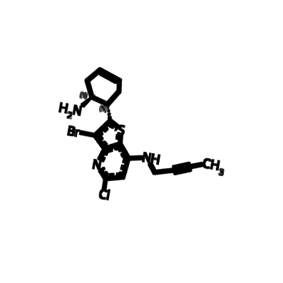 CC#CCNc1cc(Cl)nc2c(Br)c([C@H]3CC=CC[C@@H]3N)sc12